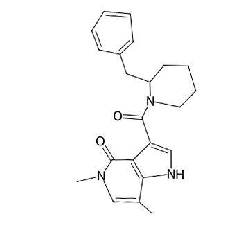 Cc1cn(C)c(=O)c2c(C(=O)N3CCCCC3Cc3ccccc3)c[nH]c12